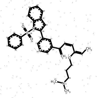 C=C(/C=C\C(=C/C)OCCCN(C)C)c1cncc(-c2cc3ccccc3n2S(=O)(=O)c2ccccc2)c1